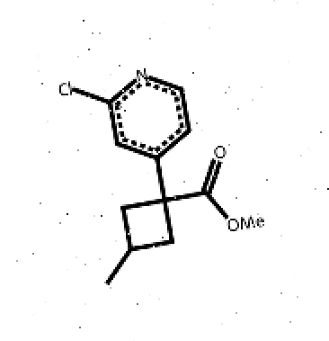 COC(=O)C1(c2ccnc(Cl)c2)CC(C)C1